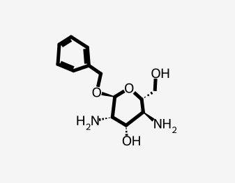 N[C@@H]1[C@@H](OCc2ccccc2)O[C@H](CO)[C@@H](N)[C@@H]1O